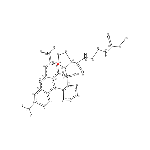 CN(C)c1ccc2c(-c3ccccc3S(=O)(=O)N3CCCC3C(=O)NCCNC(=O)CI)c3ccc(=[N+](C)C)cc-3oc2c1